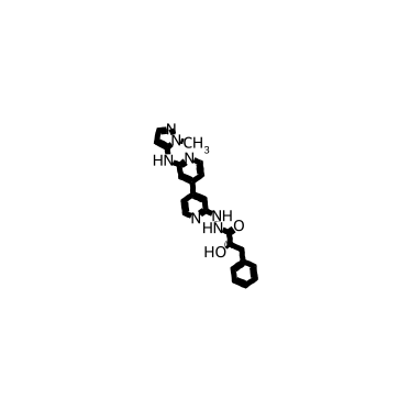 Cn1nccc1Nc1cc(-c2ccnc(NNC(=O)[C@H](O)Cc3ccccc3)c2)ccn1